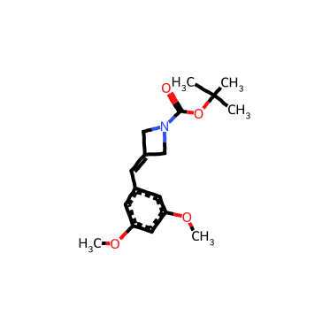 COc1cc(C=C2CN(C(=O)OC(C)(C)C)C2)cc(OC)c1